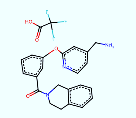 NCc1ccnc(Oc2cccc(C(=O)N3CCc4ccccc4C3)c2)c1.O=C(O)C(F)(F)F